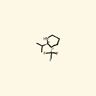 CC(C)[C@H]1NCCC[C@@H]1C(F)(F)F